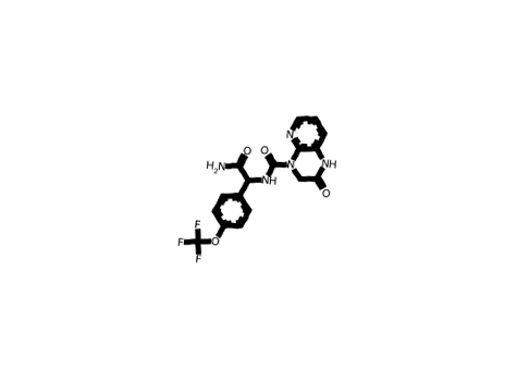 NC(=O)C(NC(=O)N1CC(=O)Nc2cccnc21)c1ccc(OC(F)(F)F)cc1